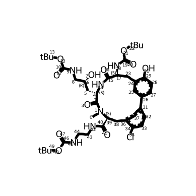 CN1C(=O)[C@H](C[C@@H](O)CNC(=O)OC(C)(C)C)NC(=O)[C@@H](NC(=O)OC(C)(C)C)Cc2cc(ccc2O)-c2ccc(Cl)c(c2)C[C@H]1C(=O)NCCNC(=O)OC(C)(C)C